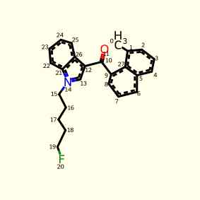 Cc1cccc2cccc(C(=O)c3cn(CCCCCF)c4ccccc34)c12